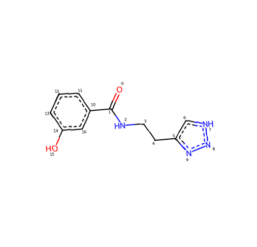 O=C(NCCc1c[nH]nn1)c1cccc(O)c1